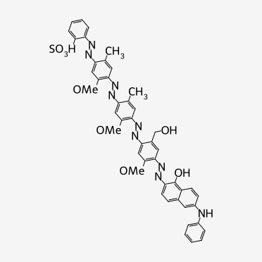 COc1cc(N=Nc2ccccc2S(=O)(=O)O)c(C)cc1N=Nc1cc(OC)c(N=Nc2cc(OC)c(N=Nc3ccc4cc(Nc5ccccc5)ccc4c3O)cc2CO)cc1C